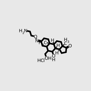 C[C@]12CCC(=NOCCN)CC1C(CO)C(O)[C@@H]1[C@H]2CC[C@]2(C)C(=O)CC[C@@H]12.Cl